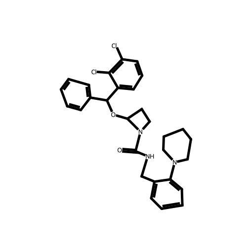 O=C(NCc1ccccc1N1CCCCC1)N1CCC1OC(c1ccccc1)c1cccc(Cl)c1Cl